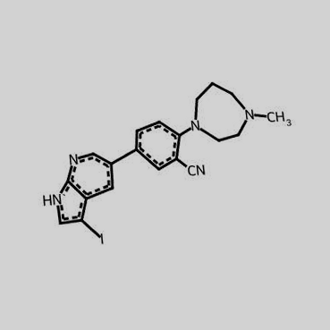 CN1CCCN(c2ccc(-c3cnc4[nH]cc(I)c4c3)cc2C#N)CC1